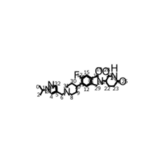 CC(C)n1cc(CN2CCC(c3cc4c(cc3F)C(=O)N(C3CCC(=O)NC3=O)C4)CC2)cn1